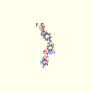 Cc1ncc(OCC(=O)N[C@H]2CC[C@](F)(CCN3CCc4nc(OCC(F)(F)F)sc4CC3)CC2)cn1